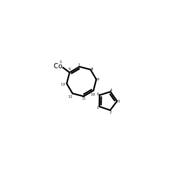 C1=CCC=C1.[Co]/[C]1=C/CC/C=C\CC1